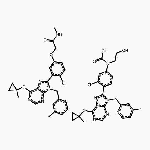 CNC(=O)COc1ccc(Cl)c(-c2nc3c(OC4(C)CC4)ncnc3n2Cc2cc(C)ccn2)c1.Cc1ccnc(Cn2c(-c3ccc(N(CCO)C(=O)O)cc3Cl)nc3c(OC4(C)CC4)ncnc32)c1